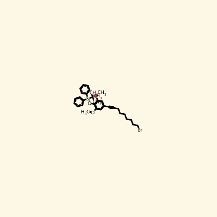 COc1cc(C#CCCCCCCCBr)cc(OC)c1O[Si](c1ccccc1)(c1ccccc1)C(C)(C)C